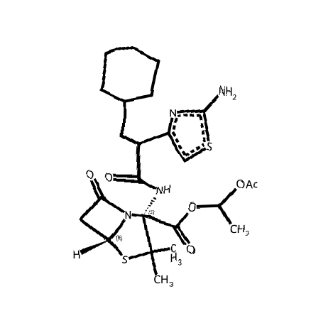 CC(=O)OC(C)OC(=O)[C@]1(NC(=O)C(CC2CCCCC2)c2csc(N)n2)N2C(=O)C[C@H]2SC1(C)C